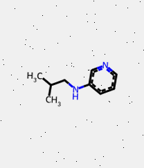 CC(C)CNc1[c]nccc1